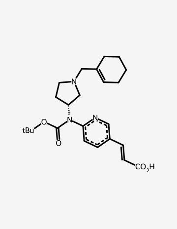 CC(C)(C)OC(=O)N(c1ccc(/C=C/C(=O)O)cn1)[C@@H]1CCN(CC2=CCCCC2)C1